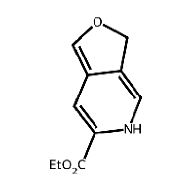 CCOC(=O)C1=CC2=COCC2=CN1